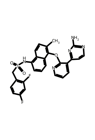 Cc1ccc2c(NS(=O)(=O)Cc3ccc(F)cc3F)cccc2c1Oc1ncccc1-c1ccnc(N)n1